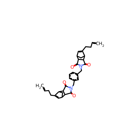 C=CCCC1=CC2CC1C1C(=O)N(Cc3cccc(CN4C(=O)C5C6C=C(CCC=C)C(C6)C5C4=O)c3)C(=O)C21